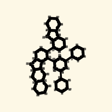 c1ccc(-c2nc(-c3ccccc3)nc(-c3c(-c4cccc5c4oc4ccccc45)ccc4oc5cc6ccccc6cc5c34)n2)cc1